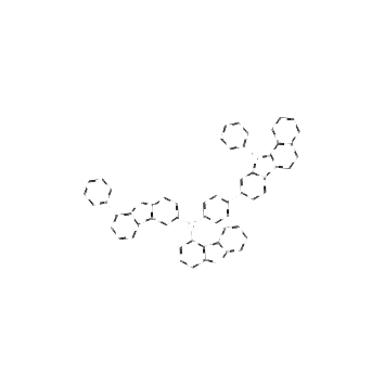 c1ccc(-c2cccc3c2sc2ccc(N(c4ccc(-c5ccc6c7ccc8ccccc8c7n(-c7ccccc7)c6c5)cc4)c4cccc5oc6ccccc6c45)cc23)cc1